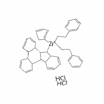 C1=CC[C]([Zr](=[C](CCc2ccccc2)CCc2ccccc2)[CH]2C3C=CC=CC3C3C4C=CC=CC4C4C=CC=CC4C32)=C1.Cl.Cl